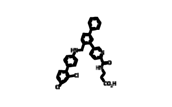 O=C(O)CCNC(=O)c1ccc(-c2cc(-c3ccccc3)ccc2CNc2ccc(-c3ccc(Cl)cc3Cl)cc2)cn1